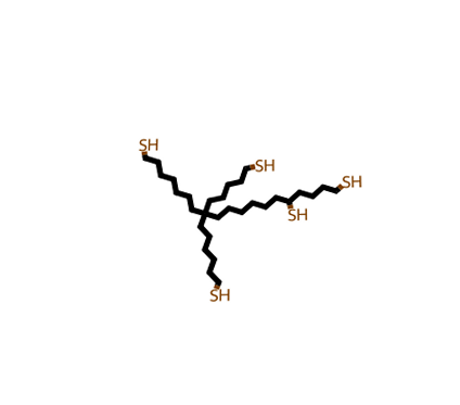 SCCCCCCCC(CCCCCS)(CCCCCCS)CCCCCCC(S)CCCCS